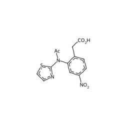 CC(=O)N(c1nccs1)c1cc([N+](=O)[O-])ccc1CC(=O)O